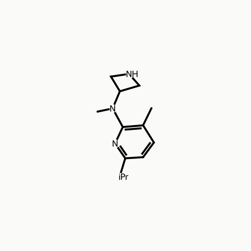 Cc1ccc(C(C)C)nc1N(C)C1CNC1